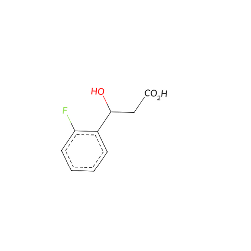 O=C(O)CC(O)c1ccccc1F